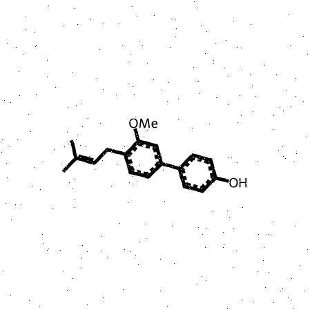 COc1cc(-c2ccc(O)cc2)ccc1CC=C(C)C